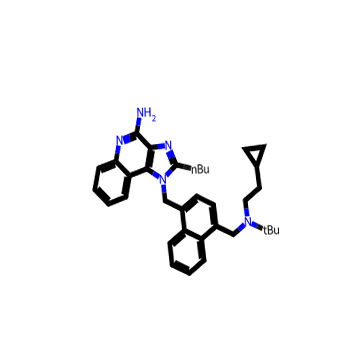 CCCCc1nc2c(N)nc3ccccc3c2n1Cc1ccc(CN(CCC2CC2)C(C)(C)C)c2ccccc12